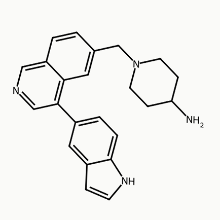 NC1CCN(Cc2ccc3cncc(-c4ccc5[nH]ccc5c4)c3c2)CC1